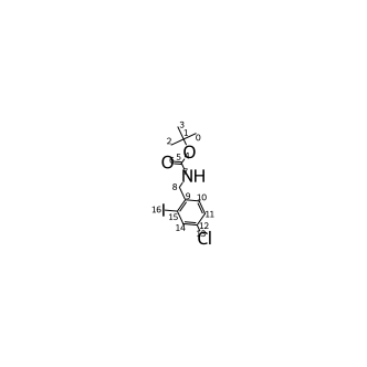 CC(C)(C)OC(=O)NCc1ccc(Cl)cc1I